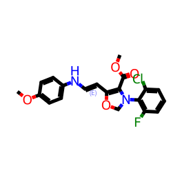 COC(=O)C1=C(/C=C/Nc2ccc(OC)cc2)OCN1c1c(F)cccc1Cl